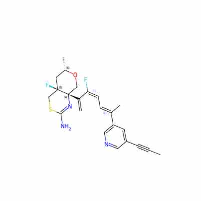 C=C(/C(F)=C\C=C(/C)c1cncc(C#CC)c1)[C@]12CO[C@@H](C)C[C@@]1(F)CSC(N)=N2